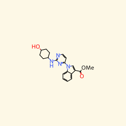 COC(=O)c1cn(-c2ccnc(NC3CCC(O)CC3)n2)c2ccccc12